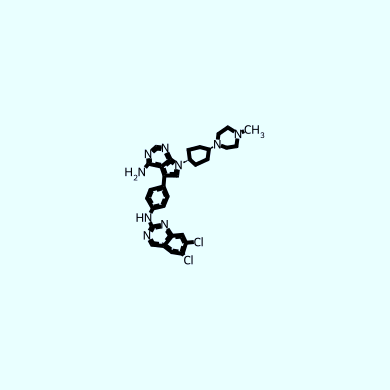 CN1CCN([C@H]2CC[C@@H](n3cc(-c4ccc(Nc5ncc6cc(Cl)c(Cl)cc6n5)cc4)c4c(N)ncnc43)CC2)CC1